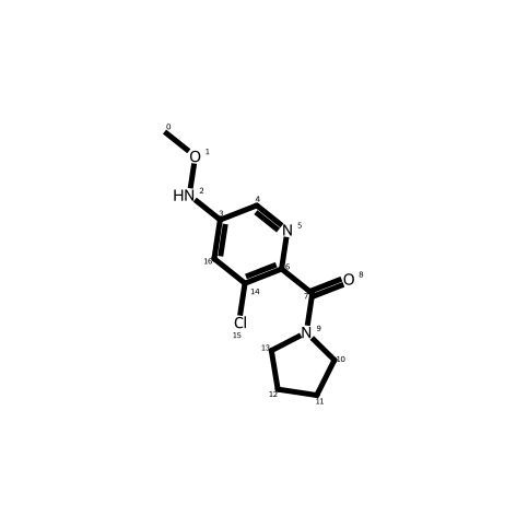 CONc1cnc(C(=O)N2CCCC2)c(Cl)c1